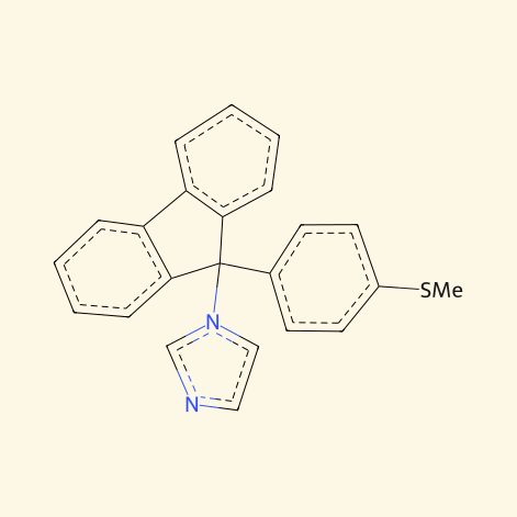 CSc1ccc(C2(n3ccnc3)c3ccccc3-c3ccccc32)cc1